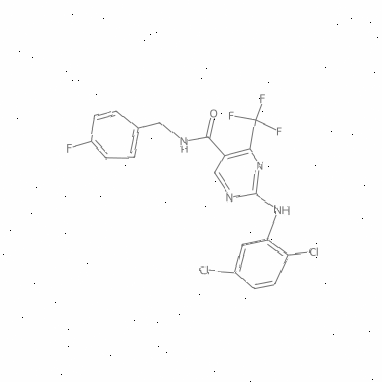 O=C(NCc1ccc(F)cc1)c1cnc(Nc2cc(Cl)ccc2Cl)nc1C(F)(F)F